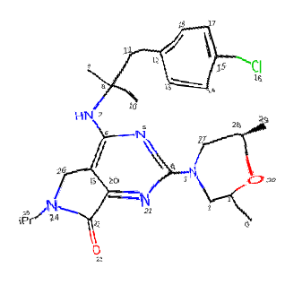 CC1CN(c2nc(NC(C)(C)Cc3ccc(Cl)cc3)c3c(n2)C(=O)N(C(C)C)C3)C[C@@H](C)O1